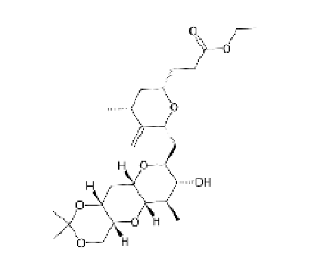 C=C1[C@H](C)C[C@H](CCC(=O)OCC)O[C@@H]1C[C@@H]1O[C@H]2C[C@H]3OC(C)(C)OC[C@H]3O[C@H]2[C@H](C)[C@H]1O